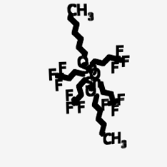 CCCCCCC[O][Sn]([CH2]CCC(F)(F)F)([CH2]CCC(F)(F)F)[O][Sn]([CH2]CCC(F)(F)F)([CH2]CCC(F)(F)F)[O]CCCCCCC